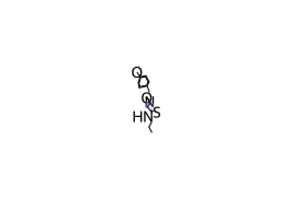 CCCNC(=S)/C=N/OCc1ccc(OC)cc1